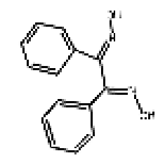 O/N=C(/C(=N/O)c1ccccc1)c1ccccc1